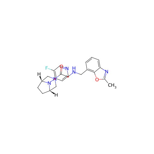 Cc1nc2cccc(CNCC(=O)N3C[C@H]4CC[C@@H](C3)N4c3ccncc3F)c2o1